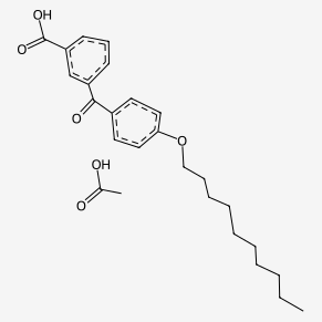 CC(=O)O.CCCCCCCCCCOc1ccc(C(=O)c2cccc(C(=O)O)c2)cc1